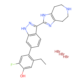 Br.Br.Br.CCc1cc(O)c(F)cc1-c1ccc2c(-c3nc4c([nH]3)CCNCC4)n[nH]c2c1